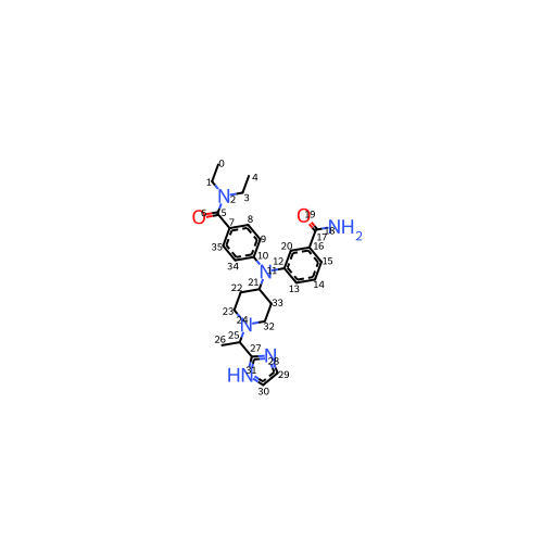 CCN(CC)C(=O)c1ccc(N(c2cccc(C(N)=O)c2)C2CCN(C(C)c3ncc[nH]3)CC2)cc1